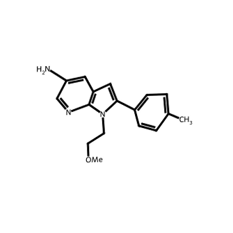 COCCn1c(-c2ccc(C)cc2)cc2cc(N)cnc21